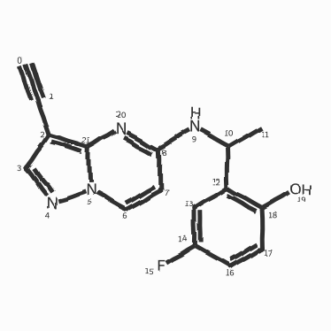 C#Cc1cnn2ccc(NC(C)c3cc(F)ccc3O)nc12